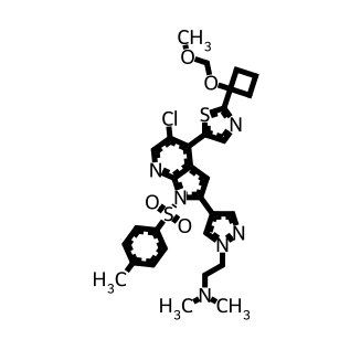 COCOC1(c2ncc(-c3c(Cl)cnc4c3cc(-c3cnn(CCN(C)C)c3)n4S(=O)(=O)c3ccc(C)cc3)s2)CCC1